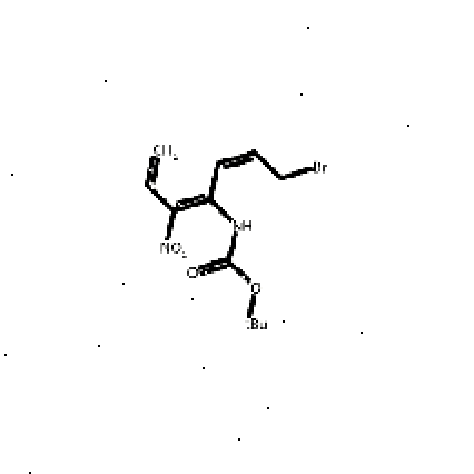 C=C/C(=C(\C=C/CBr)NC(=O)OC(C)(C)C)[N+](=O)[O-]